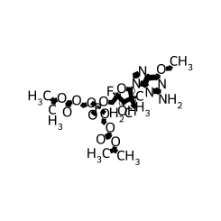 C=C[C@@]1(C)[C@H](n2cnc3c(OCC)nc(N)nc32)O[C@](F)(COP(=O)(OCOC(=O)OC(C)C)OCOC(=O)OC(C)C)[C@H]1O